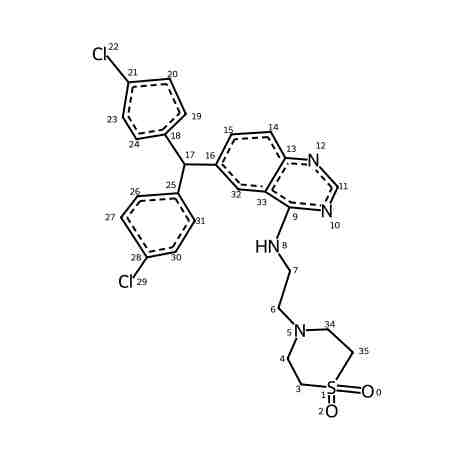 O=S1(=O)CCN(CCNc2ncnc3ccc(C(c4ccc(Cl)cc4)c4ccc(Cl)cc4)cc23)CC1